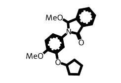 COc1ccc(N2C(=O)c3ccccc3C2OC)cc1OC1CCCC1